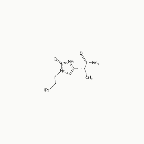 CC(C)CCn1cc(C(C)C(N)=O)[nH]c1=O